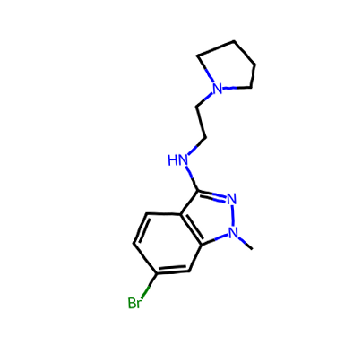 Cn1nc(NCCN2CCCC2)c2ccc(Br)cc21